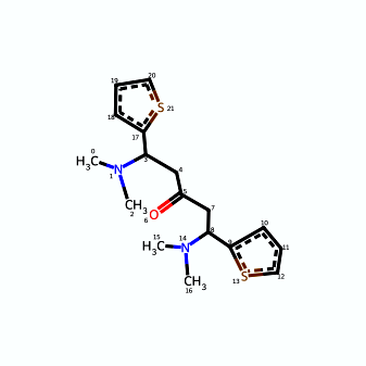 CN(C)C(CC(=O)CC(c1cccs1)N(C)C)c1cccs1